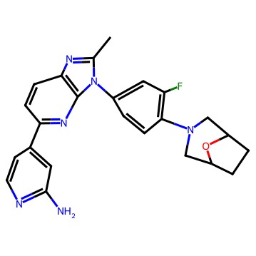 Cc1nc2ccc(-c3ccnc(N)c3)nc2n1-c1ccc(N2CC3CCC(C2)O3)c(F)c1